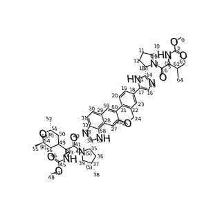 COC(=O)N[C@H](C(=O)N1[C@@H](C)CC[C@H]1c1ncc(-c2ccc3c(c2)COc2cc4c(ccc5nc([C@@H]6C[C@H](C)CN6C(=O)[C@@H](NC(=O)OC)C6C[C@@H](C)O[C@H](C)C6)[nH]c54)cc2-3)[nH]1)C(C)C